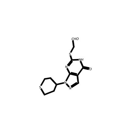 O=CCSc1nc2c(cnn2C2CCSCC2)c(=O)[nH]1